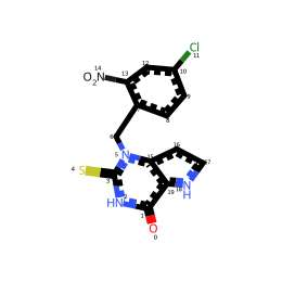 O=c1[nH]c(=S)n(Cc2ccc(Cl)cc2[N+](=O)[O-])c2cc[nH]c12